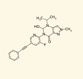 CC(C)N1c2cn(C)nc2C(=O)N(c2ncc(C#Cc3ccccc3)cc2F)C1O